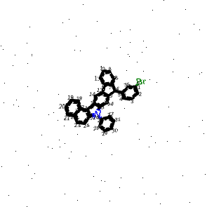 Brc1cccc(C2c3ccccc3-c3cc4c5c6ccccc6ccc5n(-c5ccccc5)c4cc32)c1